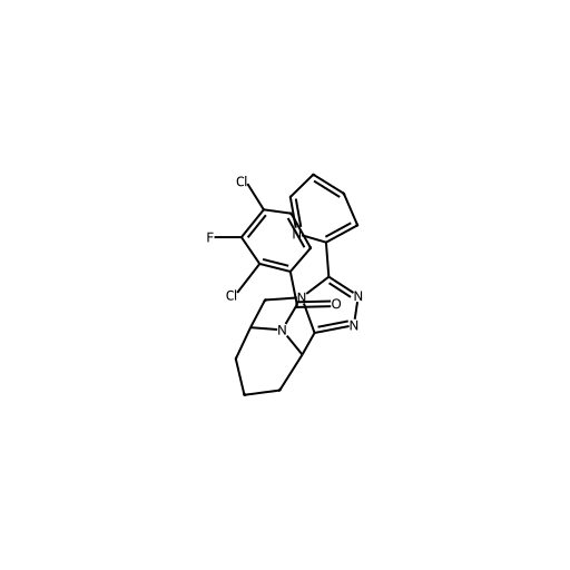 O=C(c1ccc(Cl)c(F)c1Cl)N1C2CCCC1c1nnc(-c3ccccn3)n1C2